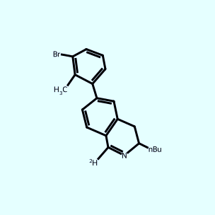 [2H]C1=NC(CCCC)Cc2cc(-c3cccc(Br)c3C)ccc21